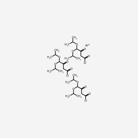 CC(C)OC(OC(C)C)C(=O)CC(=O)[O-].CC(C)OC(OC(C)C)C(=O)CC(=O)[O-].CC(C)OC(OC(C)C)C(=O)CC(=O)[O-].[Al+3]